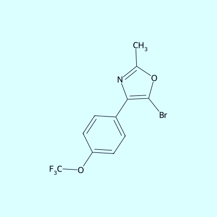 Cc1nc(-c2ccc(OC(F)(F)F)cc2)c(Br)o1